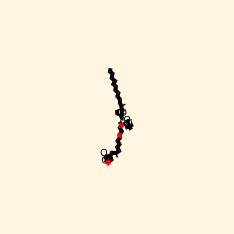 CCCCCCCCCCCC[C@@H](C)[C@@H]1CC[C@H]([C@@H](CCCCCCCCCC[C@@H](C)CC2=C[C@H](C)OC2=O)O[Si](C)(C)C(C)(C)C)O1